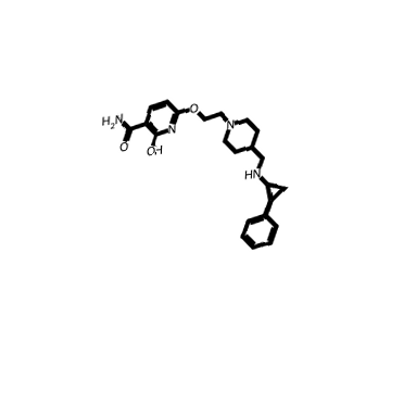 NC(=O)c1ccc(OCCN2CCC(CNC3CC3c3ccccc3)CC2)nc1O